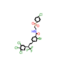 O=C(NCCS(=O)(=O)c1ccc(Cl)cc1)c1ccc(C=CC(c2cc(Cl)c(Cl)c(Cl)c2)C(F)(F)F)cc1Br